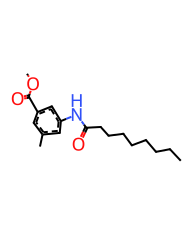 CCCCCCCCC(=O)Nc1cc(C)cc(C(=O)OC)c1